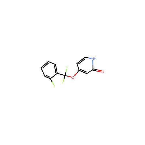 O=c1cc(OC(F)(F)c2ccccc2F)cc[nH]1